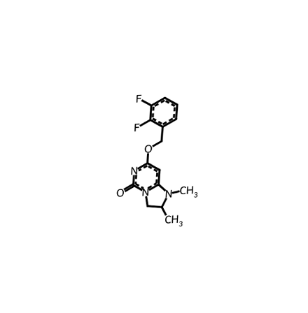 CC1Cn2c(cc(OCc3cccc(F)c3F)nc2=O)N1C